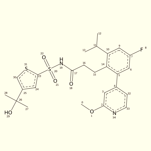 COc1cc(-c2cc(F)cc(C(C)C)c2CCC(=O)NS(=O)(=O)c2cc(C(C)(C)O)cs2)ccn1